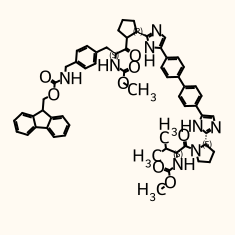 COC(=O)N[C@@H](Cc1ccc(CNC(=O)OCC2c3ccccc3-c3ccccc32)cc1)C(=O)C1CCC[C@H]1c1ncc(-c2ccc(-c3ccc(-c4cnc([C@@H]5CCCN5C(=O)[C@@H](NC(=O)OC)C(C)C)[nH]4)cc3)cc2)[nH]1